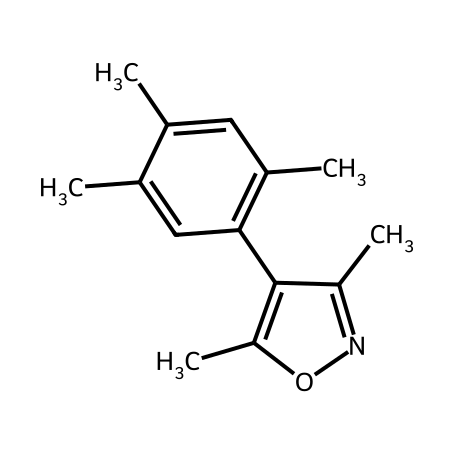 Cc1cc(C)c(-c2c(C)noc2C)cc1C